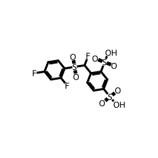 O=S(=O)(O)c1ccc(C(F)S(=O)(=O)c2ccc(F)cc2F)c(S(=O)(=O)O)c1